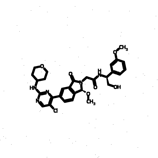 COc1cccc([C@@H](CO)NC(=O)CN2C(=O)c3cc(-c4nc(NC5CCOCC5)ncc4Cl)ccc3[C@H]2OC)c1